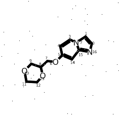 c1cn2ccc(OCC3COCCO3)cc2n1